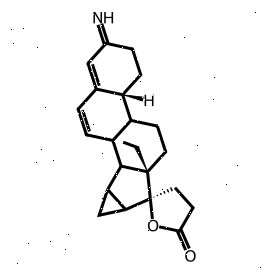 CC[C@]12CCC3C(C=CC4=CC(=N)CC[C@@H]43)C1C1CC1[C@@]21CCC(=O)O1